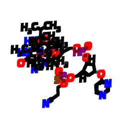 CC(C)C(=O)Nc1nc2c(ncn2[C@@H]2O[C@@H]3CO[PH](=O)O[C@H]4C[C@H](Oc5ccncn5)C[C@@H]4COP(=S)(OCCC#N)O[C@@H]2[C@@H]3O[Si](O[Si](O)(C(C)C)C(C)C)(C(C)C)C(C)C)c(=O)[nH]1